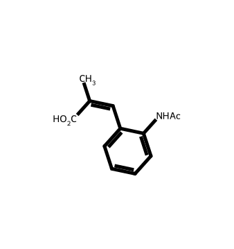 CC(=O)Nc1ccccc1/C=C(/C)C(=O)O